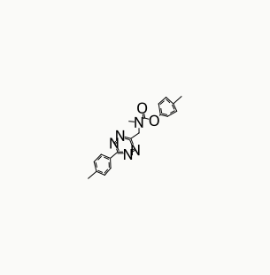 Cc1ccc(OC(=O)N(C)Cc2nnc(-c3ccc(C)cc3)nn2)cc1